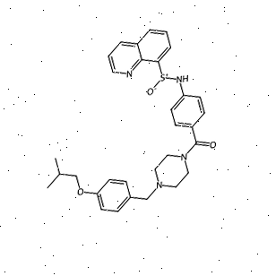 CC(C)COc1ccc(CN2CCN(C(=O)c3ccc(N[S+]([O-])c4cccc5cccnc45)cc3)CC2)cc1